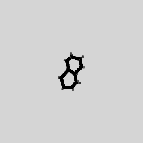 [c]1ccc2cnncc2n1